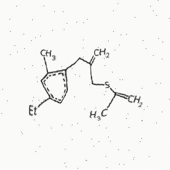 C=C(CSC(=C)C)Cc1ccc(CC)cc1C